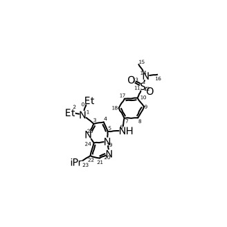 CCN(CC)c1cc(Nc2ccc(S(=O)(=O)N(C)C)cc2)n2ncc(C(C)C)c2n1